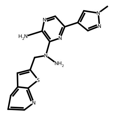 Cn1cc(-c2cnc(N)c(N(N)Cc3cc4cccnc4s3)n2)cn1